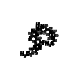 CCC1Cc2nc3c(F)cc(-c4nc(Nc5ccc(CN6CCN(CC)CC6)cn5)ncc4F)cc3n2C1